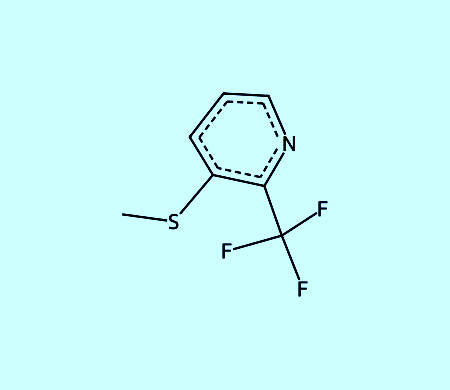 CSc1cccnc1C(F)(F)F